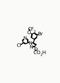 O=C(O)Oc1cc(-c2cc(Br)cc(OC(F)(F)F)c2)n(-c2cncc(Cl)c2)n1